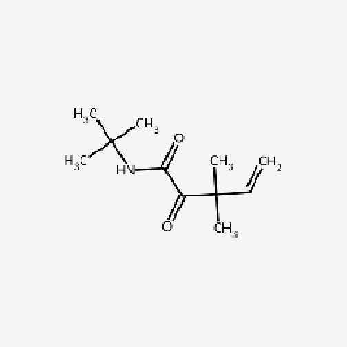 C=CC(C)(C)C(=O)C(=O)NC(C)(C)C